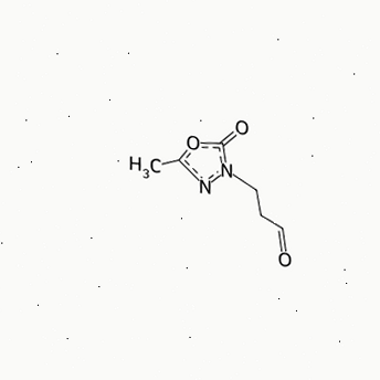 Cc1nn(CCC=O)c(=O)o1